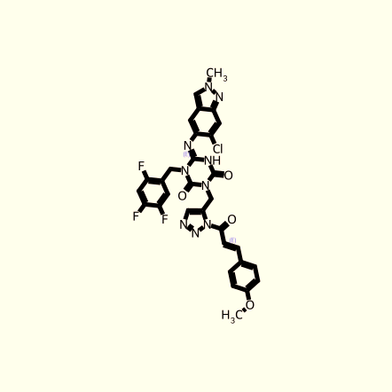 COc1ccc(/C=C/C(=O)n2nncc2Cn2c(=O)[nH]/c(=N\c3cc4cn(C)nc4cc3Cl)n(Cc3cc(F)c(F)cc3F)c2=O)cc1